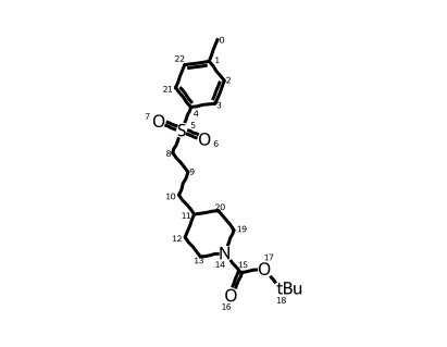 Cc1ccc(S(=O)(=O)CCCC2CCN(C(=O)OC(C)(C)C)CC2)cc1